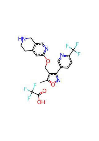 Cc1onc(-c2ccc(C(F)(F)F)nc2)c1COc1cc2c(cn1)CNCC2.O=C(O)C(F)(F)F